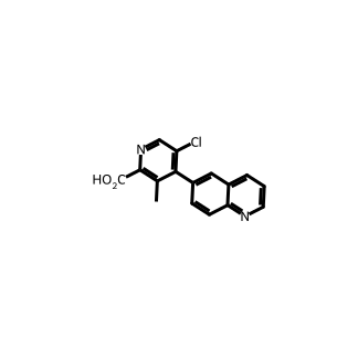 Cc1c(C(=O)O)ncc(Cl)c1-c1ccc2ncccc2c1